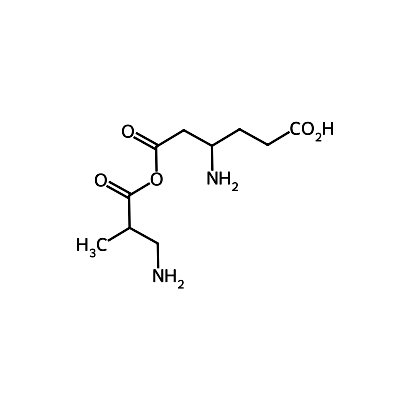 CC(CN)C(=O)OC(=O)CC(N)CCC(=O)O